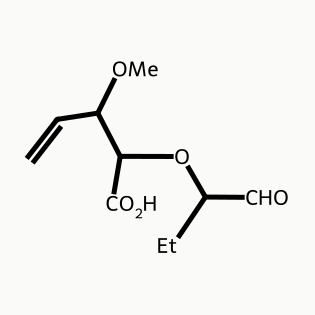 C=CC(OC)C(OC(C=O)CC)C(=O)O